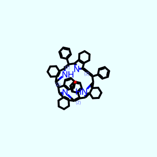 c1ccc(/C2=C3N=C(C4=C/3CCCC4)/C(c3ccccc3)=c3\[nH]/c(c4c3CCCC4)=C(/c3ccccc3)C3=N/C(=C(/c4ccccc4)c4[nH]c2c2c4CCCC2)C2=C3CCCC2)cc1